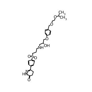 CC(C)OCCOCc1ccc(OCC(O)CNCCCS(=O)(=O)c2ccc(C3=NNC(=O)CC3)cc2)cc1